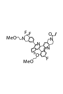 C=CC(=O)N1CCc2ncc(-c3nc(-c4ccc5c(c4)CN(CCOC)CC5(F)F)c4ccsc4c3-c3c(F)cc(F)cc3OCCOC)cc2C1